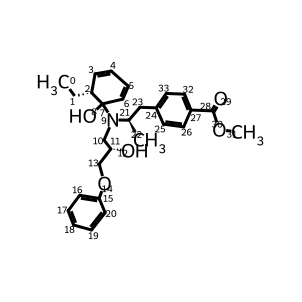 CC[C@@H]1C=CC=CC1(O)N(C[C@H](O)COc1ccccc1)[C@H](C)Cc1ccc(C(=O)OC)cc1